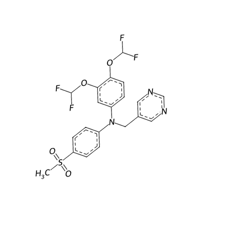 CS(=O)(=O)c1ccc(N(Cc2cncnc2)c2ccc(OC(F)F)c(OC(F)F)c2)cc1